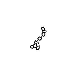 c1ccc2c(c1)sc1ccc(-c3ccc(-c4ccc5c6ccccc6c6cccnc6c5n4)cc3)cc12